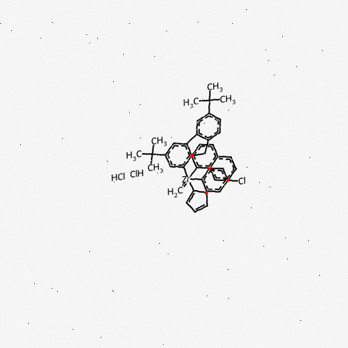 Cl.Cl.[CH2]=[Zr]([C]1=CC=CC1)([c]1ccc(Cl)cc1)([c]1cc(C(C)(C)C)cc2c1Cc1ccc(C(C)(C)C)cc1-2)[c]1cccc2ccccc12